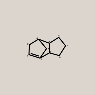 [C]1C=C2CC1C1CCCC21